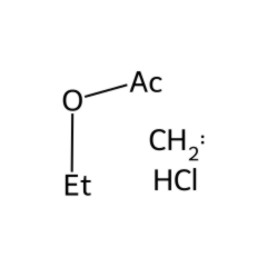 CCOC(C)=O.Cl.[CH2]